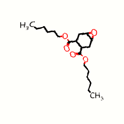 CCCCCCOC(=O)C1CC2OC2CC1C(=O)OCCCCCC